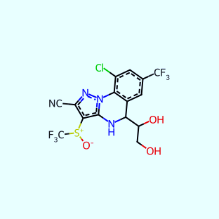 N#Cc1nn2c(c1[S+]([O-])C(F)(F)F)NC(C(O)CO)c1cc(C(F)(F)F)cc(Cl)c1-2